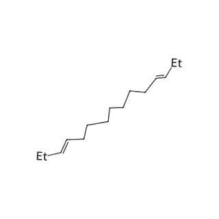 [CH2]CC=CCCCCCCCC=CCC